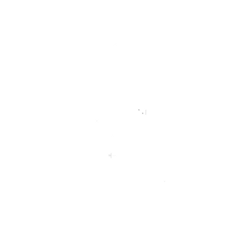 CS(C)(C)CC[C@@H](Nc1cc(Cl)cc(Cl)c1)C(=O)O